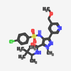 COCc1cncc(-c2nn(C)c(C(=O)NC(C)C(C)(C)C)c2NS(=O)(=O)c2ccc(Cl)cc2)c1